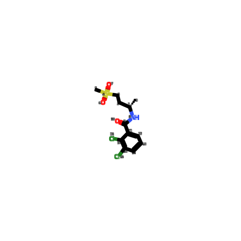 C[C@@H](CCS(C)(=O)=O)NC(=O)c1cccc(Cl)c1Cl